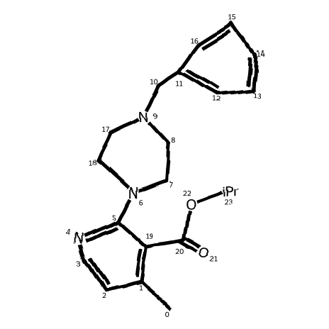 Cc1ccnc(N2CCN(Cc3ccccc3)CC2)c1C(=O)OC(C)C